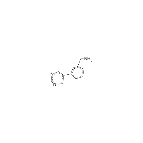 NCc1cccc(-c2cncnc2)c1